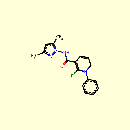 O=C(Nn1nc(C(F)(F)F)cc1C(F)(F)F)C1=C(F)N(c2ccccc2)CC=C1